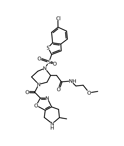 COCCNC(=O)CC1CN(C(=O)c2nc3c(o2)CNC(C)C3)CCN1S(=O)(=O)c1cc2ccc(Cl)cc2s1